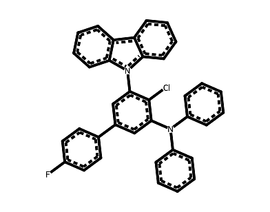 Fc1ccc(-c2cc(N(c3ccccc3)c3ccccc3)c(Cl)c(-n3c4ccccc4c4ccccc43)c2)cc1